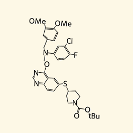 COc1ccc(CN(COc2ncnc3ccc(SC4CCN(C(=O)OC(C)(C)C)CC4)cc23)c2ccc(F)c(Cl)c2)cc1OC